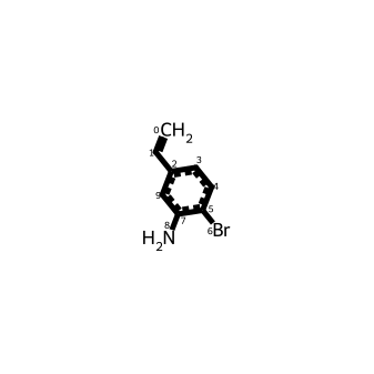 C=Cc1ccc(Br)c(N)c1